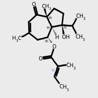 C/C=C(\C)C(=O)O[C@@H]1CC(C)=CC(=O)[C@]2(C)CC[C@](O)(C(C)C)[C@@H]12